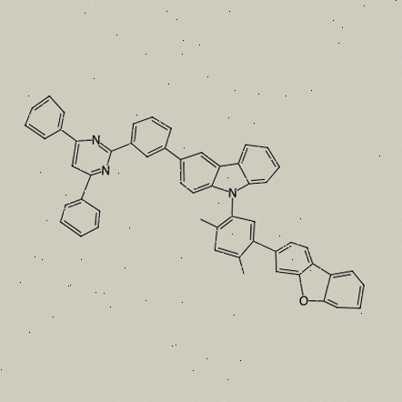 Cc1cc(C)c(-n2c3ccccc3c3cc(-c4cccc(-c5nc(-c6ccccc6)cc(-c6ccccc6)n5)c4)ccc32)cc1-c1ccc2c(c1)oc1ccccc12